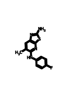 Cc1cc2nc(N)sc2nc1Nc1ccc(F)cc1